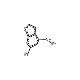 CC(C)Nc1cc(C(C)C)cc2sccc12